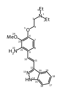 CCN(CC)CCOc1ccc(C=Cc2n[nH]c3ccccc23)c(N)c1OC